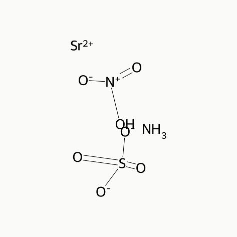 N.O=S(=O)([O-])[O-].O=[N+]([O-])O.[Sr+2]